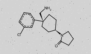 NC[C@]1(c2cccc(Cl)c2)CC[C@H](N2CCCC2=O)CC1